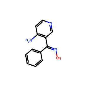 Nc1ccncc1C(=NO)c1ccccc1